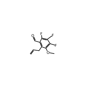 C=CCc1c(C=O)c(F)c(F)c(F)c1OC